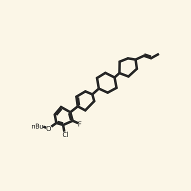 C/C=C/C1CCC(C2CCC(C3CC=C(c4ccc(OCCCC)c(Cl)c4F)CC3)CC2)CC1